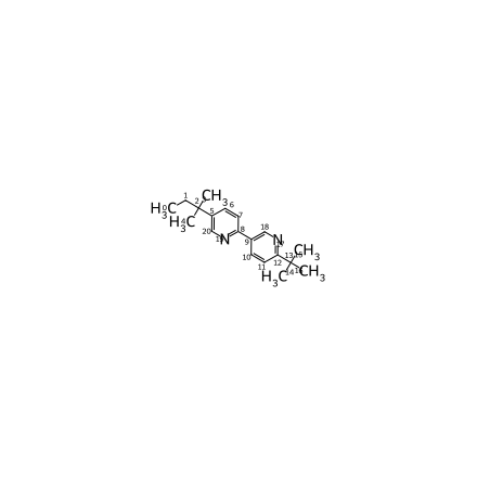 CCC(C)(C)c1ccc(-c2ccc(C(C)(C)C)nc2)nc1